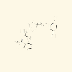 COc1ccc(Cl)cc1CNC[C@H]1CC[C@@H](Nc2cc(N(C)C)c3ccccc3n2)CC1